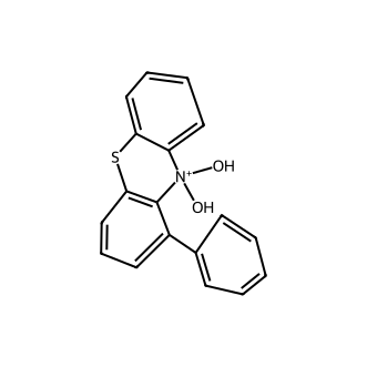 O[N+]1(O)c2ccccc2Sc2cccc(-c3ccccc3)c21